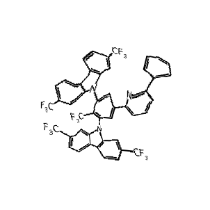 FC(F)(F)c1ccc2c3ccc(C(F)(F)F)cc3n(-c3cc(-c4cccc(-c5ccccc5)n4)cc(-n4c5cc(C(F)(F)F)ccc5c5ccc(C(F)(F)F)cc54)c3C(F)(F)F)c2c1